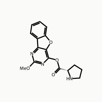 COc1nc(OC(=O)[C@@H]2CCCN2)c2oc3ccccc3c2n1